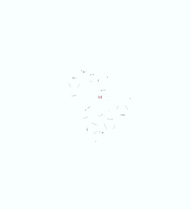 Cc1c(O)c2c3c(c1O)[C@@H](O)[C@H](OC3=O)[C@H]1OC(=O)c3c(c(O)c(O)c(O)c3-2)-c2c(cc(O)c(O)c2O)C(=O)O[C@@H]2COC(=O)c3cc(O)c(O)c(O)c3-c3cc(c(O)c(O)c3O)C(=O)O[C@@H]12